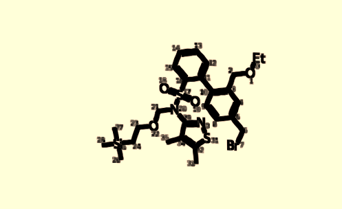 CCOCc1cc(CBr)ccc1-c1ccccc1S(=O)(=O)N(COCC[Si](C)(C)C)c1nsc(C)c1C